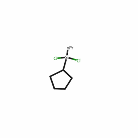 CCC[Si](Cl)(Cl)C1CCCC1